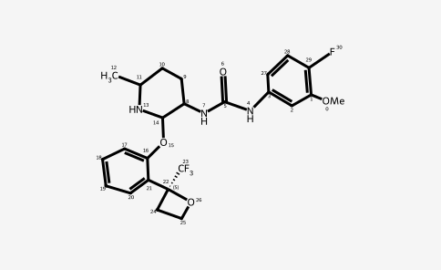 COc1cc(NC(=O)NC2CCC(C)NC2Oc2ccccc2[C@]2(C(F)(F)F)CCO2)ccc1F